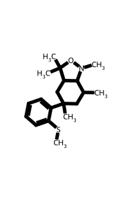 CSc1ccccc1C1(C)CC(C)C2C(C1)C(C)(C)ON2C